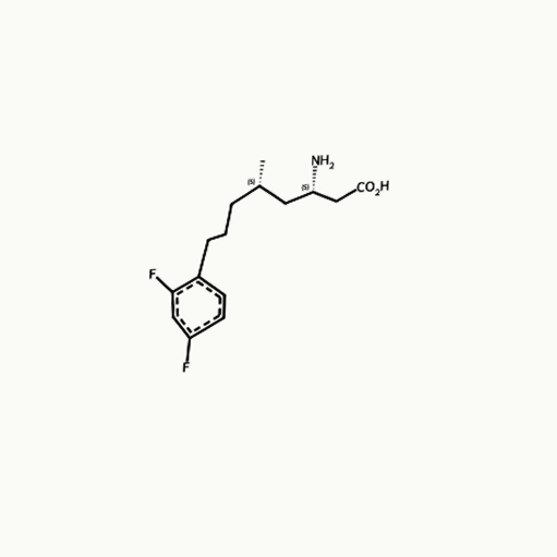 C[C@@H](CCCc1ccc(F)cc1F)C[C@H](N)CC(=O)O